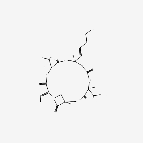 C/C=C1/C(=O)N[C@@H](C(C)C)C(=O)O[C@H](/C=C/CCS)CC(=O)N[C@H](C(C)C)C(=O)N[C@H]2CN1C2=O